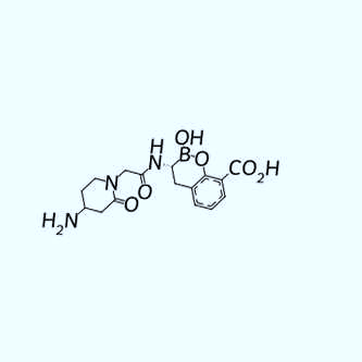 NC1CCN(CC(=O)N[C@H]2Cc3cccc(C(=O)O)c3OB2O)C(=O)C1